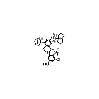 [2H]C([2H])(Oc1nc2c(c(N3CC4CCC3CN4)n1)CCN(c1cc(O)cc(Cl)c1C(F)(F)F)C2)C12CCCN1CCC2